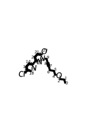 CCCOCCCC#CCn1nc(-c2ccc(Cl)cn2)ccc1=O